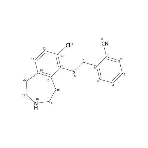 N#Cc1ccccc1CSc1c(Cl)ccc2c1CCNCC2